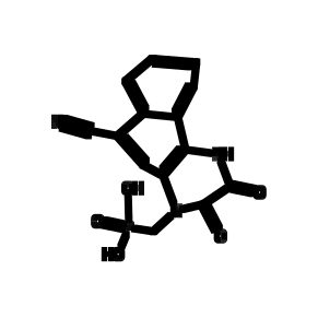 N#Cc1cc2c([nH]c(=O)c(=O)n2CP(=O)(O)O)c2ccccc12